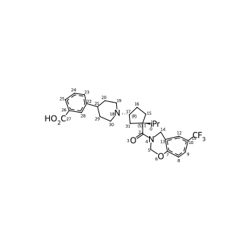 CC(C)[C@]1(C(=O)N2COc3ccc(C(F)(F)F)cc3C2)CC[C@@H](N2CCC(c3cccc(C(=O)O)c3)CC2)C1